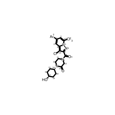 CC(=O)c1cc(C(F)(F)F)n2nc(C(=O)N3CCN([C@H]4CC[C@H](O)CC4)C(=O)C3)c(Cl)c2c1